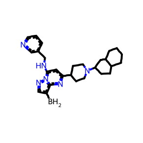 Bc1cnn2c(NCc3cccnc3)cc(C3CCN(C4CCC5CCCCC5C4)CC3)nc12